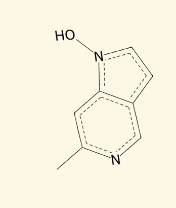 Cc1cc2c(ccn2O)cn1